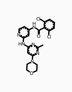 Cc1nc(Nc2cc(NC(=O)c3c(Cl)cccc3Cl)ccn2)cc(N2CCOCC2)n1